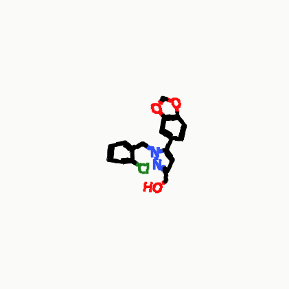 OCc1cc(-c2ccc3c(c2)OCO3)n(Cc2ccccc2Cl)n1